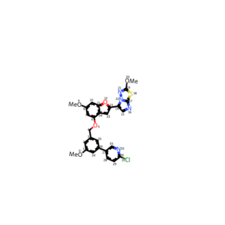 COc1cc(COc2cc(OC)cc3oc(-c4cnc5sc(OC)nn45)cc23)cc(-c2ccc(Cl)nc2)c1